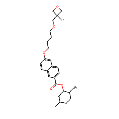 CCC1(COCCCCOc2ccc3cc(C(=O)OC4CC(C)CCC4C(C)C)ccc3c2)COC1